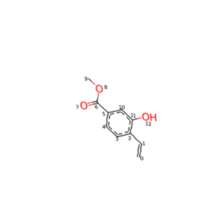 C=Cc1ccc(C(=O)OC)cc1O